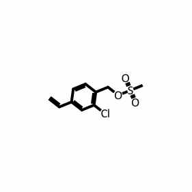 C=Cc1ccc(COS(C)(=O)=O)c(Cl)c1